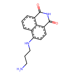 NCCCNc1ccc2c3c(cccc13)C(=O)NC2=O